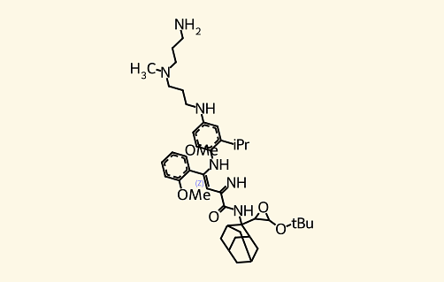 COc1cccc(OC)c1/C(=C/C(=N)C(=O)NC1(C2OC2OC(C)(C)C)C2CC3CC(C2)CC1C3)Nc1ccc(NCCCN(C)CCCN)cc1C(C)C